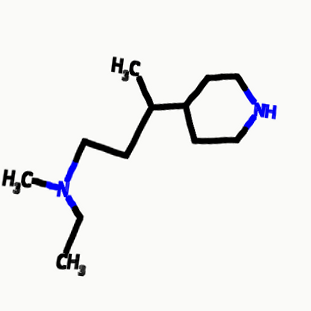 CCN(C)CCC(C)C1CCNCC1